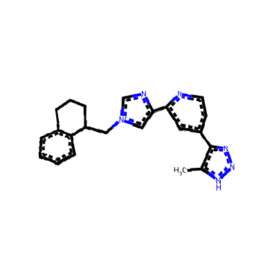 Cc1[nH]nnc1-c1ccnc(-c2cn(CC3CCCc4ccccc43)cn2)c1